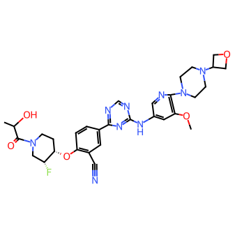 COc1cc(Nc2ncnc(-c3ccc(O[C@H]4CCN(C(=O)C(C)O)C[C@H]4F)c(C#N)c3)n2)cnc1N1CCN(C2COC2)CC1